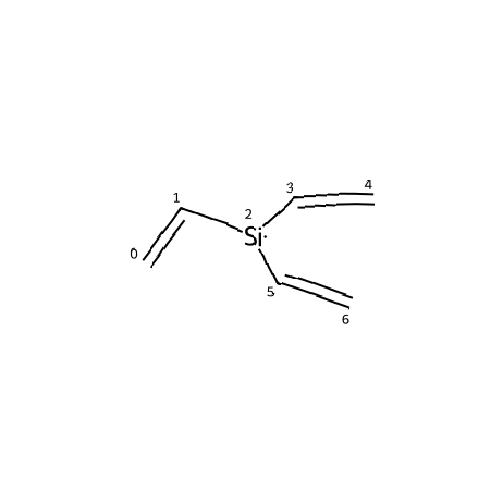 C=C[Si](C=C)C=C